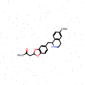 COC(=O)CC1Oc2ccc(CC3NCCc4cc(OC)ccc43)cc2O1